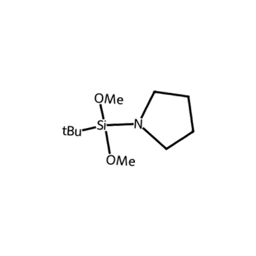 CO[Si](OC)(N1CCCC1)C(C)(C)C